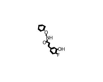 O=C(C=Cc1ccc(F)c(O)c1)NCOc1ccccc1